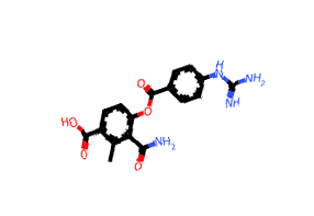 Cc1c(C(=O)O)ccc(OC(=O)c2ccc(NC(=N)N)cc2)c1C(N)=O